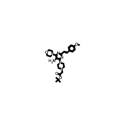 COc1ccc(C=Cc2nc(N3CCOCC3)c(N)c(N3CCN(CC(=O)OC(C)(C)C)CC3)n2)cc1